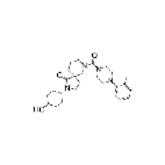 Cc1ccccc1N1CCN(C(=O)N2CCCC3(CCN([C@H]4CC[C@H](O)CC4)C3=O)C2)CC1